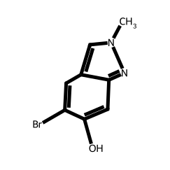 Cn1cc2cc(Br)c(O)cc2n1